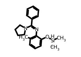 Cc1cccc(O[SiH](C)C)c1N=C(c1ccccc1)N1CCCC1